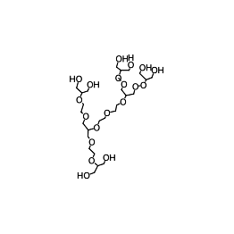 OCC(CO)OCCOCC(COCCOC(CO)CO)OCCOCCOC(COOC(CO)CO)COOC(CO)CO